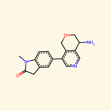 CN1C(=O)Cc2cc(-c3cncc4c3COCC4N)ccc21